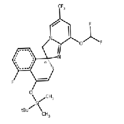 CC(C)(C)[Si](C)(C)OC1=CC[C@@]2(CN3C=C(C(F)(F)F)C=C(OC(F)F)C3=N2)c2cccc(F)c21